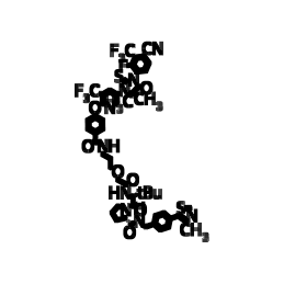 Cc1ncsc1-c1ccc(CNC(=O)[C@@H]2CCCN2C(=O)[C@@H](NC(=O)COCCCNC(=O)c2ccc(Oc3ncc(N4C(=S)N(c5ccc(C#N)c(C(F)(F)F)c5F)C(=O)C4(C)C)cc3C(F)(F)F)cc2)C(C)(C)C)cc1